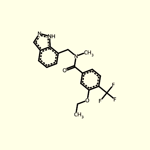 CCOc1cc(C(=O)N(C)Cc2cccc3cn[nH]c23)ccc1C(F)(F)F